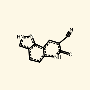 N#Cc1cc2c(ccc3c[nH]nc32)[nH]c1=O